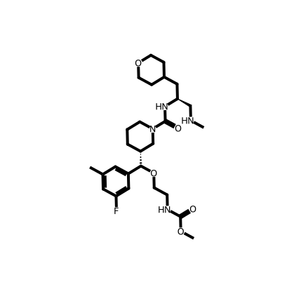 CNC[C@H](CC1CCOCC1)NC(=O)N1CCC[C@@H](C(OCCNC(=O)OC)c2cc(C)cc(F)c2)C1